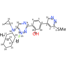 CSc1cc(-c2ccc(-c3ncc(N(C4CC4)[C@H]4C[C@@H]5CCC[C@@H](C5)[C@H]4F)nn3)c(O)c2)cnn1